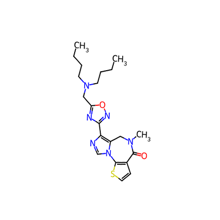 CCCCN(CCCC)Cc1nc(-c2ncn3c2CN(C)C(=O)c2ccsc2-3)no1